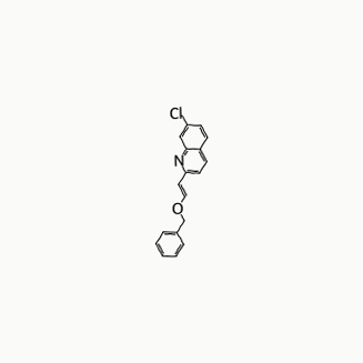 Clc1ccc2ccc(/C=C/OCc3ccccc3)nc2c1